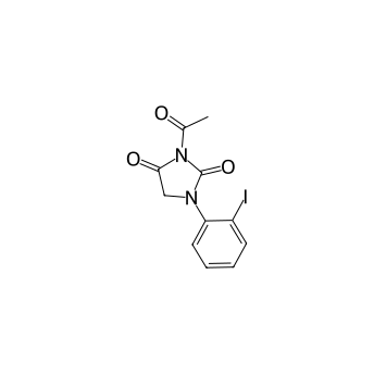 CC(=O)N1C(=O)CN(c2ccccc2I)C1=O